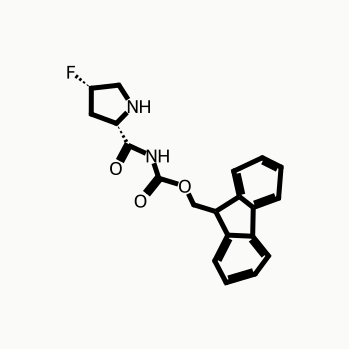 O=C(NC(=O)[C@@H]1C[C@H](F)CN1)OCC1c2ccccc2-c2ccccc21